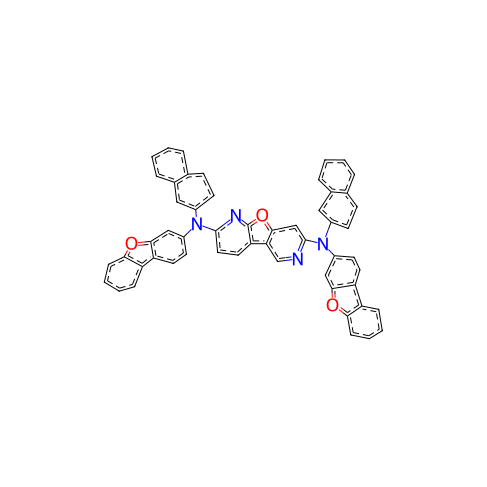 c1ccc2cc(N(c3ccc4c(c3)oc3ccccc34)c3cc4oc5nc(N(c6ccc7ccccc7c6)c6ccc7c(c6)oc6ccccc67)ccc5c4cn3)ccc2c1